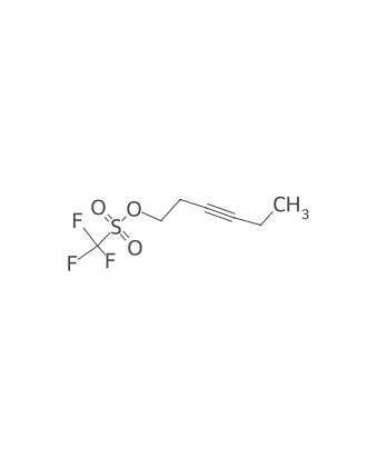 CCC#CCCOS(=O)(=O)C(F)(F)F